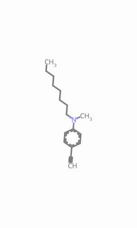 C#Cc1ccc(N(C)CCCCCCCC)cc1